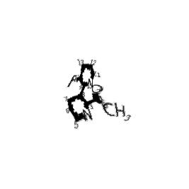 CC(=O)c1ncccc1-c1ncccc1F